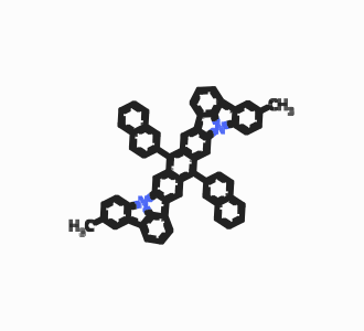 Cc1ccc2c(c1)c1cccc3c4cc5c(-c6ccc7ccccc7c6)c6cc7c(cc6c(-c6ccc8ccccc8c6)c5cc4n2c13)c1cccc2c3cc(C)ccc3n7c21